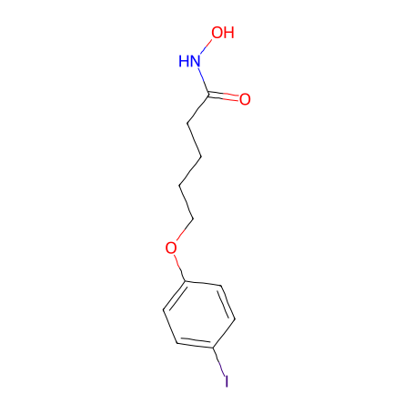 O=C(CCCCOc1ccc(I)cc1)NO